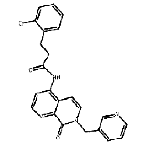 O=C(CCc1ccccc1Cl)Nc1cccc2c(=O)n(Cc3cccnc3)ccc12